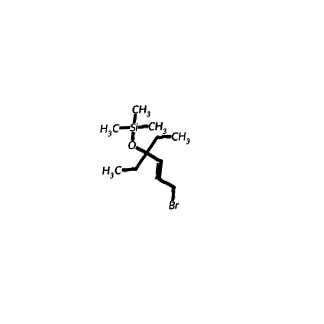 CCC(/C=C/CBr)(CC)O[Si](C)(C)C